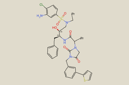 CC(C)CN(C[C@H](O)[C@H](Cc1ccccc1)NC(=O)C(C(C)C)N1CC(=O)N(Cc2cccc(-c3cccs3)c2)C1=O)S(=O)(=O)c1ccc(Cl)c(N)c1